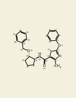 Cc1nc(Oc2ccccc2)sc1C(=O)N[C@H]1CCC[C@@H]1OCc1ccccc1